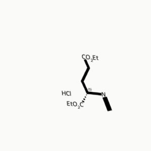 C=N[C@@H](CCC(=O)OCC)C(=O)OCC.Cl